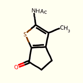 CC(=O)Nc1sc2c(c1C)CCC2=O